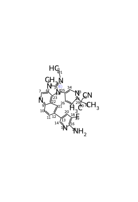 C#C/N=c1\n(C)c2cnc3ccc(-c4cnc(N)c(F)c4)cc3c2n1-c1ccc(C(C)(C)C#N)nc1